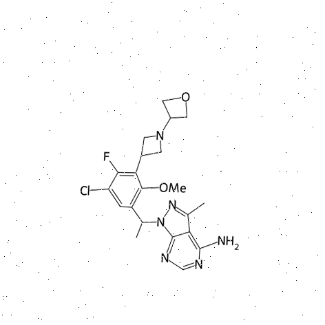 COc1c(C(C)n2nc(C)c3c(N)ncnc32)cc(Cl)c(F)c1C1CN(C2COC2)C1